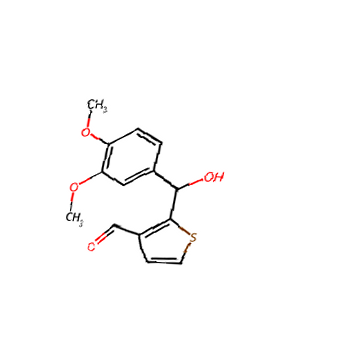 COc1ccc(C(O)c2sccc2C=O)cc1OC